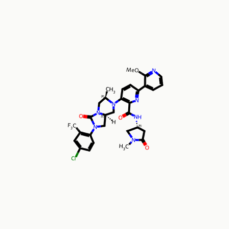 COc1ncccc1-c1ccc(N2C[C@H]3CN(c4ccc(Cl)cc4C(F)(F)F)C(=O)N3C[C@H]2C)c(C(=O)N[C@@H]2CC(=O)N(C)C2)n1